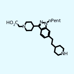 CCCCCn1nc(C2CCN(CC(=O)O)CC2)c2ccc(CCC3CCNCC3)cc21